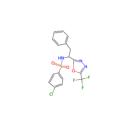 O=S(=O)(NC(Cc1ccccc1)c1nnc(C(F)(F)F)o1)c1ccc(Cl)cc1